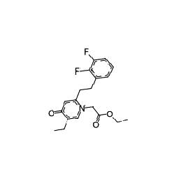 CCOC(=O)Cn1cc(CC)c(=O)cc1CCc1cccc(F)c1F